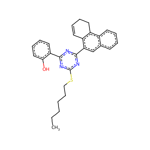 CCCCCCSc1nc(-c2ccccc2O)nc(-c2cc3ccccc3c3c2C=CCC3)n1